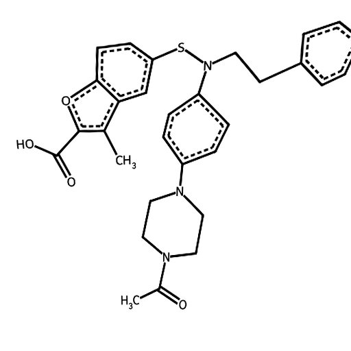 CC(=O)N1CCN(c2ccc(N(CCc3ccccc3)Sc3ccc4oc(C(=O)O)c(C)c4c3)cc2)CC1